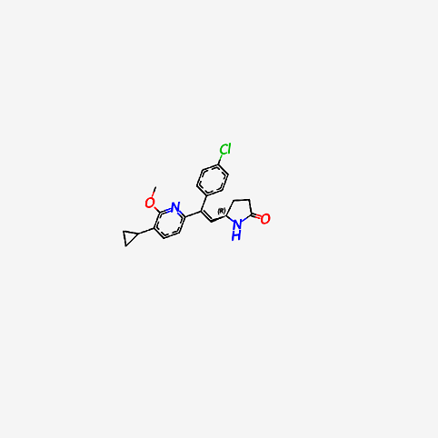 COc1nc(C(=C[C@H]2CCC(=O)N2)c2ccc(Cl)cc2)ccc1C1CC1